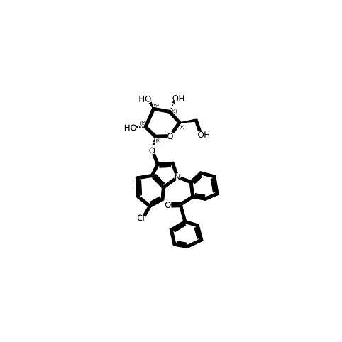 O=C(c1ccccc1)c1ccccc1-n1cc(O[C@H]2O[C@H](CO)[C@@H](O)[C@H](O)[C@H]2O)c2ccc(Cl)cc21